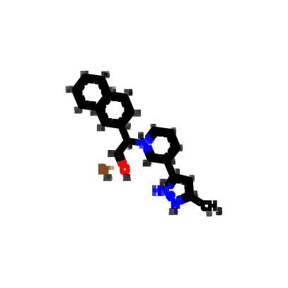 Cc1cc(-c2ccc[n+](C(C=O)c3ccc4ccccc4c3)c2)[nH]n1.[Br-]